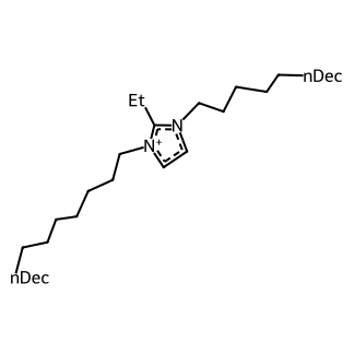 CCCCCCCCCCCCCCCCC[n+]1ccn(CCCCCCCCCCCCCCC)c1CC